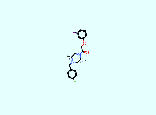 C[C@@H]1CN(Cc2ccc(F)cc2)[C@@H](C)CN1C(=O)COc1cccc(I)c1